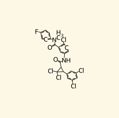 CN(C(=O)c1cc(NC(=O)C2C(c3cc(Cl)cc(Cl)c3)C2(Cl)Cl)ccc1Cl)c1ccc(F)cc1